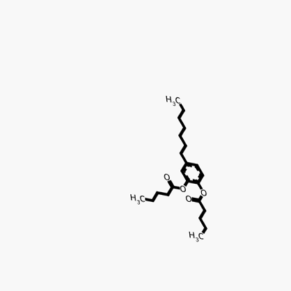 CCCCCCCc1ccc(OC(=O)CCCC)c(OC(=O)CCCC)c1